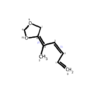 C=C/C=C\C(C)=C1/COCO1